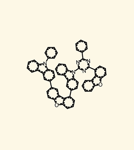 c1ccc(-c2nc(-c3cccc4oc5ccccc5c34)nc(-n3c4ccccc4c4cc(-c5cccc6oc7ccc(-c8ccc9c(c8)c8ccccc8n9-c8ccccc8)cc7c56)ccc43)n2)cc1